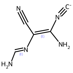 [C-]#[N+]/C(N)=C(C#N)/N=C/N